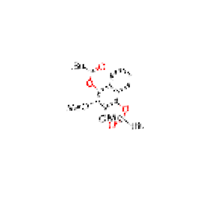 COc1c(OC)c(OC(=O)C(C)(C)C)c2ccccc2c1OC(=O)C(C)(C)C